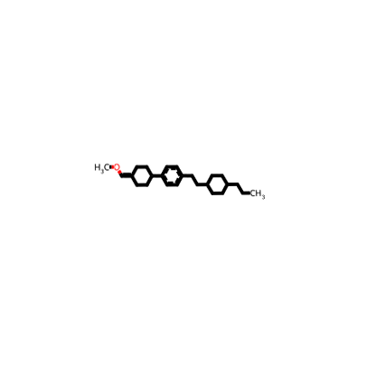 CCCC1CCC(CCc2ccc(C3CCC(=COC)CC3)cc2)CC1